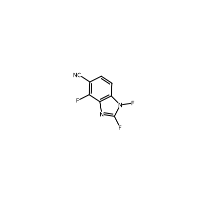 N#Cc1ccc2c(nc(F)n2F)c1F